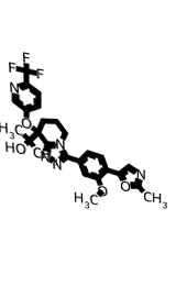 COc1cc(-c2nnc3n2CCCC3(Oc2ccc(C(F)(F)F)nc2)C(C)(C)O)ccc1-c1cnc(C)o1